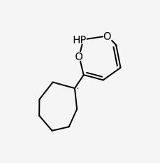 c1co[pH]oc([C]2CCCCCC2)c1